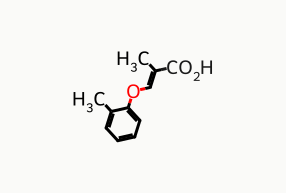 CC(=COc1ccccc1C)C(=O)O